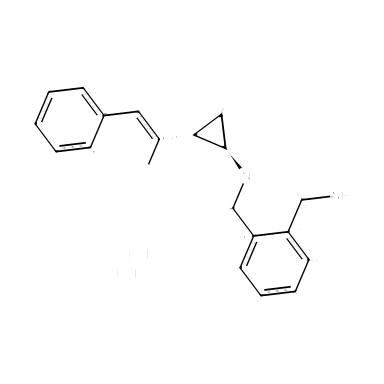 CC/C(=C\c1ccccc1)[C@@H]1C[C@H]1NCc1ccccc1CN.Cl.Cl